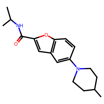 CC1CCN(c2ccc3oc(C(=O)NC(C)C)cc3c2)CC1